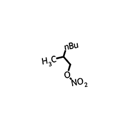 CCCCC(C)CO[N+](=O)[O-]